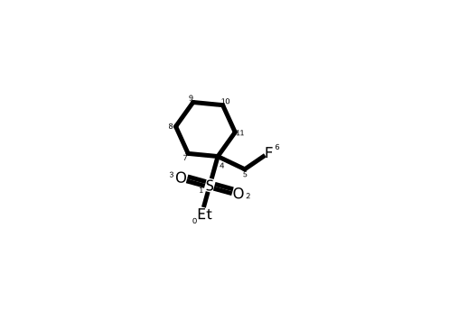 CCS(=O)(=O)C1(CF)CCCCC1